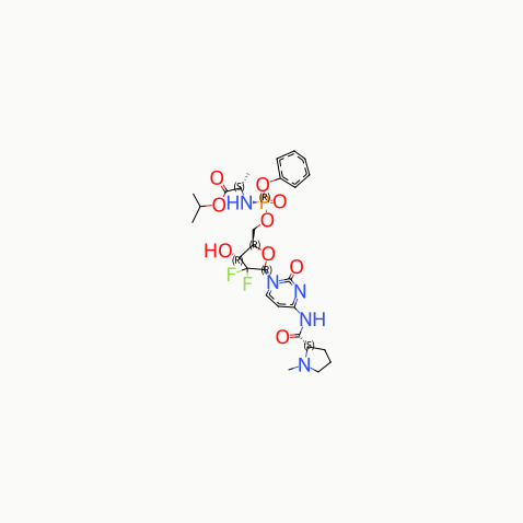 CC(C)OC(=O)[C@H](C)N[P@@](=O)(OC[C@H]1O[C@@H](n2ccc(NC(=O)[C@@H]3CCCN3C)nc2=O)C(F)(F)[C@@H]1O)Oc1ccccc1